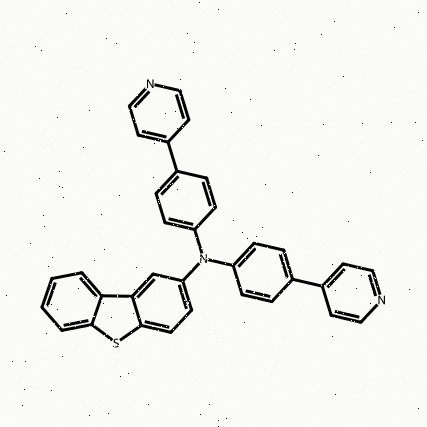 c1ccc2c(c1)sc1ccc(N(c3ccc(-c4ccncc4)cc3)c3ccc(-c4ccncc4)cc3)cc12